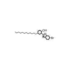 CCCCCCCCCCCCc1ccc(O)c(-n2nc3ccc(Br)cc3n2)c1